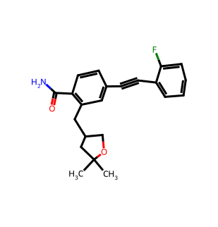 CC1(C)CC(Cc2cc(C#Cc3ccccc3F)ccc2C(N)=O)CO1